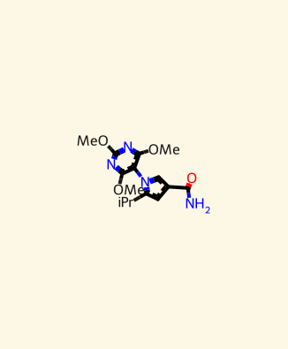 COc1nc(OC)c(-n2cc(C(N)=O)cc2C(C)C)c(OC)n1